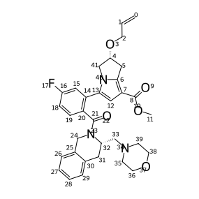 C=CCO[C@@H]1Cc2c(C(=O)OC)cc(-c3cc(F)ccc3C(=O)N3Cc4ccccc4C[C@H]3CN3CCOCC3)n2C1